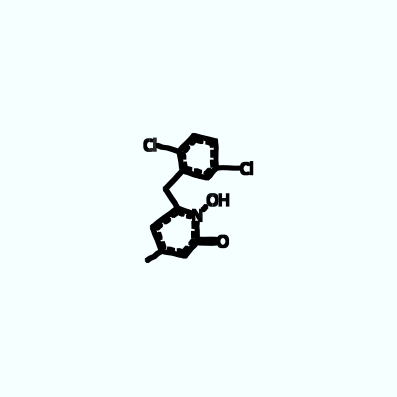 Cc1cc(Cc2cc(Cl)ccc2Cl)n(O)c(=O)c1